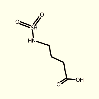 O=C(O)CCCN[SH](=O)=O